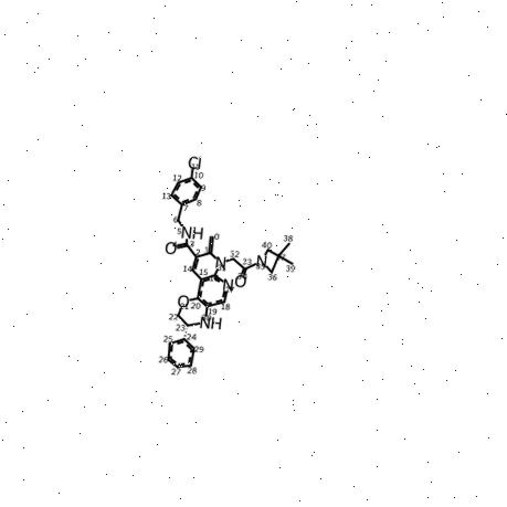 C=C1C(C(=O)NCc2ccc(Cl)cc2)=Cc2c(ncc3c2OC[C@@H](c2ccccc2)N3)N1CC(=O)N1CC(C)(C)C1